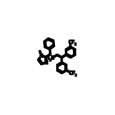 BCC(c1cccc(C(F)(F)F)c1)c1cccc(C(F)(F)F)c1.Cn1ccnc1Cc1ccccc1